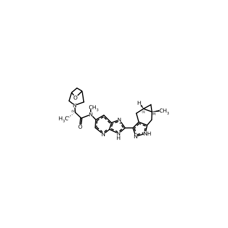 C[C@@H](C(=O)N(C)c1cnc2[nH]c(-c3n[nH]c4c3C[C@@H]3C[C@]3(C)C4)nc2c1)N1CC2CC(C1)O2